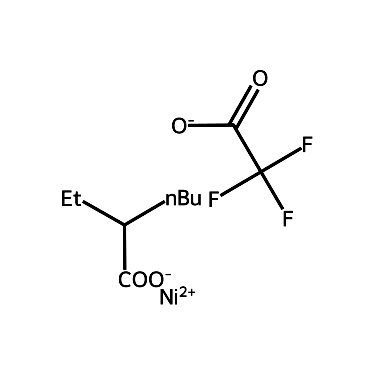 CCCCC(CC)C(=O)[O-].O=C([O-])C(F)(F)F.[Ni+2]